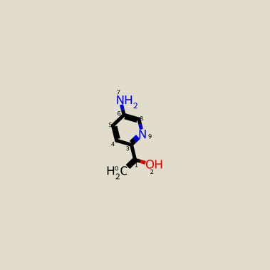 C=C(O)c1ccc(N)cn1